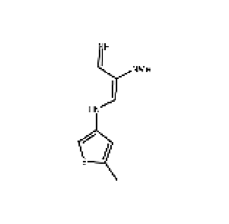 CN/C(C=N)=C/Nc1csc(C)c1